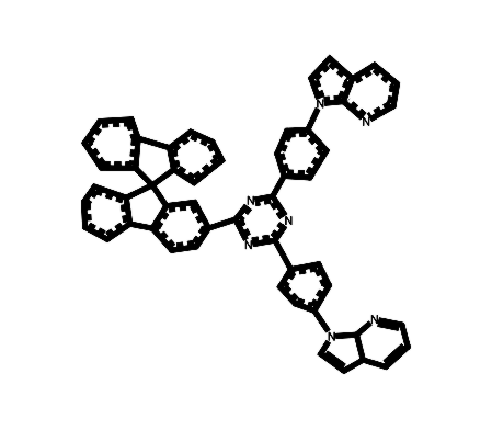 C1=CC2C=CN(c3ccc(-c4nc(-c5ccc(-n6ccc7cccnc76)cc5)nc(-c5ccc6c(c5)C5(c7ccccc7-c7ccccc75)c5ccccc5-6)n4)cc3)C2N=C1